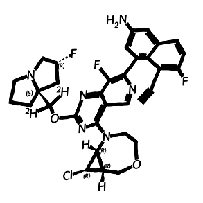 [2H]C([2H])(Oc1nc(N2CCOC[C@@H]3[C@@H](Cl)[C@@H]32)c2cnc(-c3cc(N)cc4ccc(F)c(C#C)c34)c(F)c2n1)[C@@]12CCCN1C[C@H](F)C2